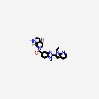 CCn1c(-c2nc3cc(C(=O)N4CC[C@@H]5CCN[C@@H]5C4)ccc3n2C)cc2cccnc21